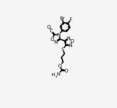 NC(=O)OCCCSc1nonc1C1=NOC(=C=O)N1c1ccc(F)c(Br)c1